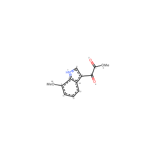 COC(=O)C(=O)c1c[nH]c2c(OC)cccc12